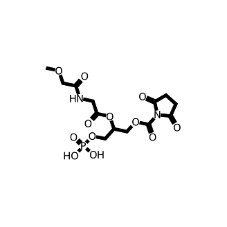 COCC(=O)NCC(=O)OC(COC(=O)N1C(=O)CCC1=O)COP(=O)(O)O